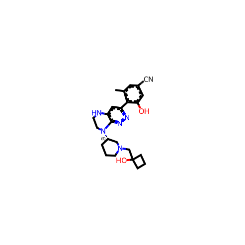 Cc1cc(C#N)cc(O)c1-c1cc2c(nn1)N([C@H]1CCCN(CC3(O)CCC3)C1)CCN2